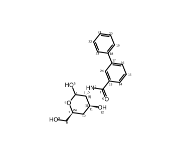 O=C(N[C@H]1C(O)O[C@H](CO)C[C@@H]1O)c1cccc(-c2ccccc2)c1